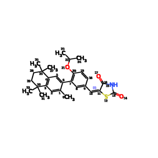 Cc1cc2c(cc1-c1cc(/C=C3/SC(=O)NC3=O)ccc1OC(C)C)C(C)(C)CCC2(C)C